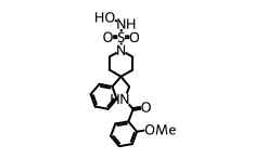 COc1ccccc1C(=O)NCC1(c2ccccc2)CCN(S(=O)(=O)NO)CC1